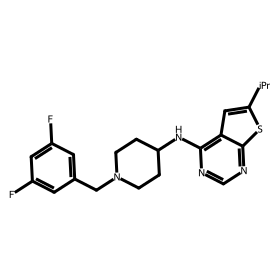 CC(C)c1cc2c(NC3CCN(Cc4cc(F)cc(F)c4)CC3)ncnc2s1